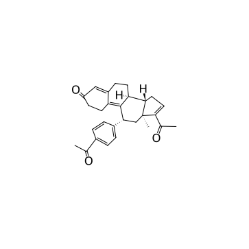 CC(=O)C1=CC[C@H]2[C@@H]3CCC4=CC(=O)CCC4=C3[C@@H](c3ccc(C(C)=O)cc3)C[C@]12C